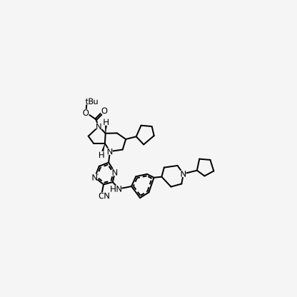 CC(C)(C)OC(=O)N1CC[C@@H]2[C@H]1CC(C1CCCC1)CN2c1cnc(C#N)c(Nc2ccc(C3CCN(C4CCCC4)CC3)cc2)n1